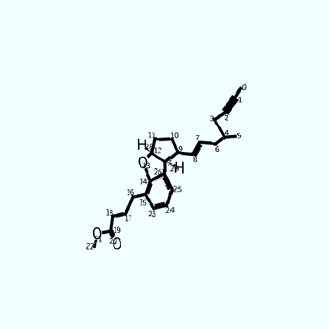 CC#CCC(C)C/C=C/C1CC[C@@H]2Oc3c(CCCC(=O)OC)cccc3[C@H]12